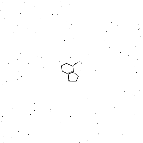 C[C@@H]1CCCC2=C1CCO2